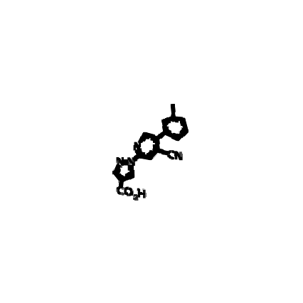 Cc1cccc(-c2cnc(-n3cc(C(=O)O)cn3)cc2C#N)c1